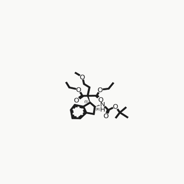 CCOC(=O)C(CCOC)(C(=O)OCC)[C@@H]1c2ccccc2C[C@H]1NC(=O)OC(C)(C)C